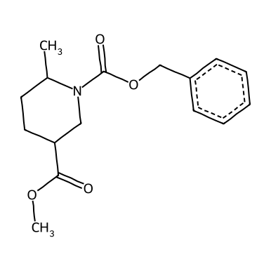 COC(=O)C1CCC(C)N(C(=O)OCc2ccccc2)C1